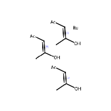 CC(=O)/C=C(\C)O.CC(=O)/C=C(\C)O.CC(=O)/C=C(\C)O.[Ru]